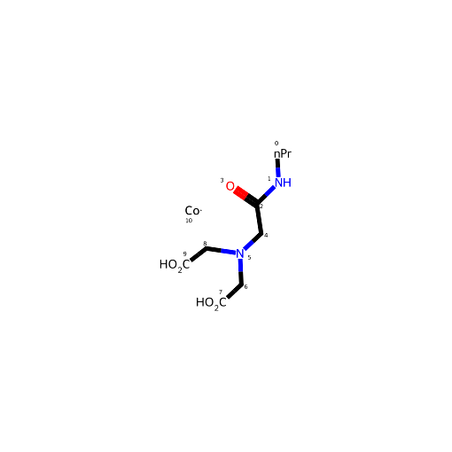 [CH2]CCNC(=O)CN(CC(=O)O)CC(=O)O.[Co]